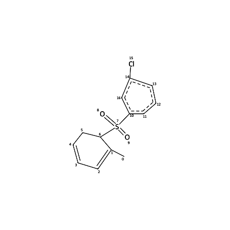 CC1=CC=CCC1S(=O)(=O)c1cccc(Cl)c1